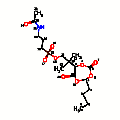 CCCCC1OC(=O)O[C@H](C(C)(C)COS(=O)(=O)CCCNC(C)=O)C(=O)O1